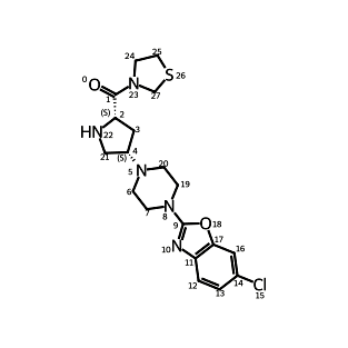 O=C([C@@H]1C[C@H](N2CCN(c3nc4ccc(Cl)cc4o3)CC2)CN1)N1CCSC1